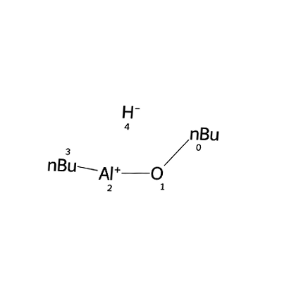 CCCC[O][Al+][CH2]CCC.[H-]